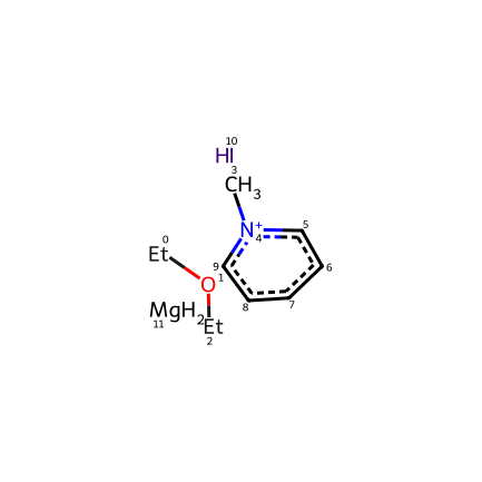 CCOCC.C[n+]1ccccc1.I.[MgH2]